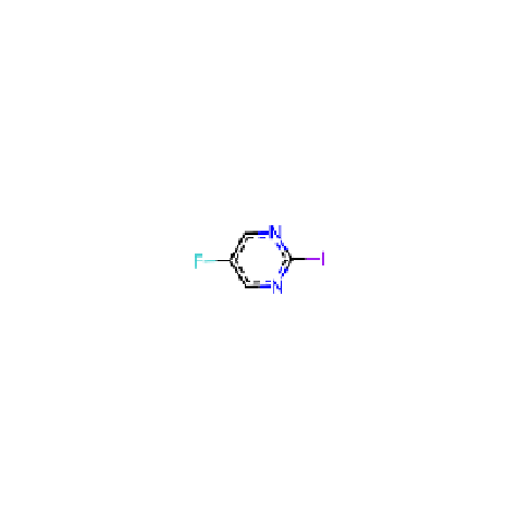 Fc1cnc(I)nc1